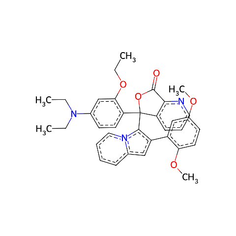 CCOc1cc(N(CC)CC)ccc1C1(c2c(-c3cc(OC)ccc3OC)cc3ccccn23)OC(=O)c2ncccc21